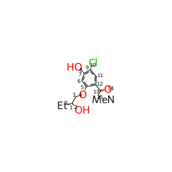 CC[C@H](O)COc1cc(O)c(Cl)cc1C(=O)NC